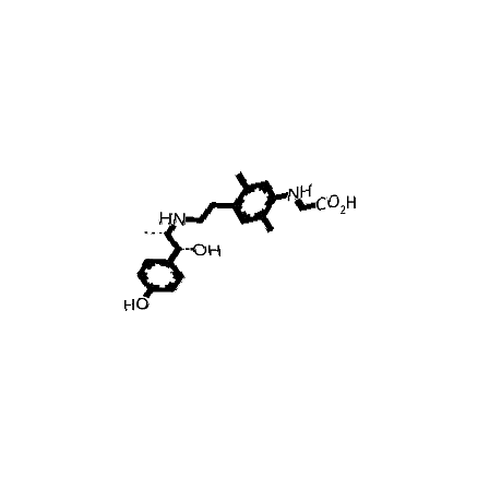 Cc1cc(NCC(=O)O)c(C)cc1CCN[C@@H](C)[C@H](O)c1ccc(O)cc1